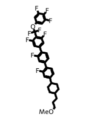 COCCCC1CCC(c2ccc(-c3ccc(-c4cc(F)c(C(F)(F)Oc5cc(F)c(F)c(F)c5)c(F)c4)c(F)c3)c(F)c2)CC1